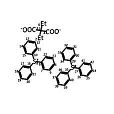 CCC(CC)(C(=O)[O-])C(=O)[O-].c1ccc([S+](c2ccccc2)c2ccccc2)cc1.c1ccc([S+](c2ccccc2)c2ccccc2)cc1